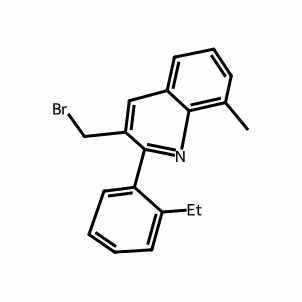 CCc1ccccc1-c1nc2c(C)cccc2cc1CBr